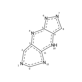 c1ncc2nc3nncc-3[nH]c2n1